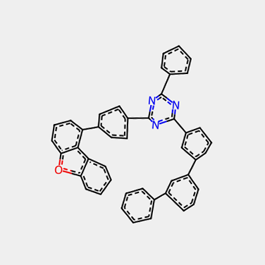 c1ccc(-c2cccc(-c3cccc(-c4nc(-c5ccccc5)nc(-c5ccc(-c6cccc7oc8ccccc8c67)cc5)n4)c3)c2)cc1